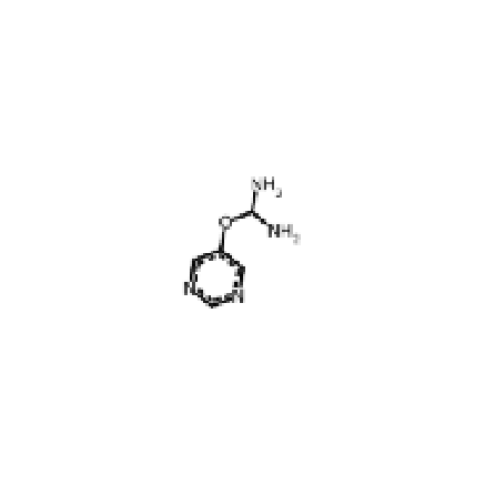 NC(N)Oc1cncnc1